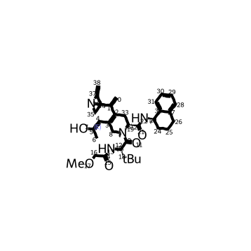 C=C(C1=C(/C=C(\C)O)CN(C(=O)[C@@H](NC(=O)COC)C(C)(C)C)[C@H](C(=O)N[C@@H]2CCCc3ccccc32)C1)C12CN1C2=C